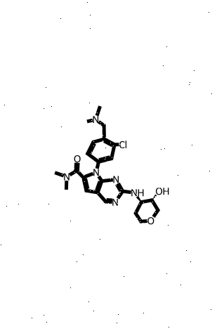 CN(C)Cc1ccc(-n2c(C(=O)N(C)C)cc3cnc(N[C@@H]4CCOC[C@H]4O)nc32)cc1Cl